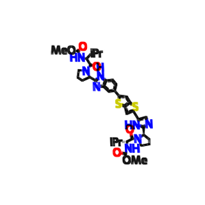 COC(=O)NC(C(=O)N1CCCC1c1nc2cc(-c3cc4sc(-c5cnc([C@H]6CCCN6C(=O)[C@H](NC(=O)OC)C(C)C)[nH]5)cc4s3)ccc2[nH]1)C(C)C